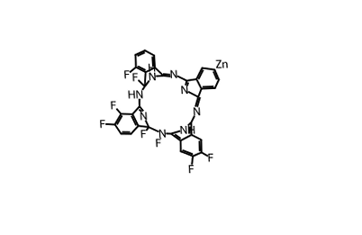 Fc1cc2c3[nH]c(c2cc1F)N(F)C1(F)N=C(NC2(F)N\C(=N/C4=N\C(=N/3)c3ccccc34)c3cccc(F)c32)c2c1ccc(F)c2F.[Zn]